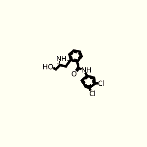 N[C@@H](CO)Cc1ccccc1C(=O)Nc1ccc(Cl)c(Cl)c1